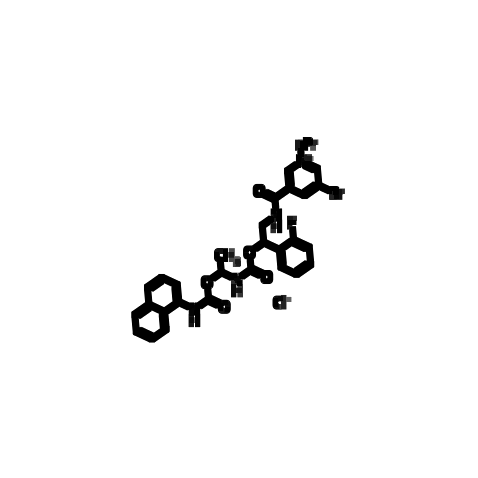 CCC[n+]1cc(Br)cc(C(=O)NCC(OC(=O)NC(C)OC(=O)Nc2cccc3ccccc23)c2ccccc2F)c1.[Cl-]